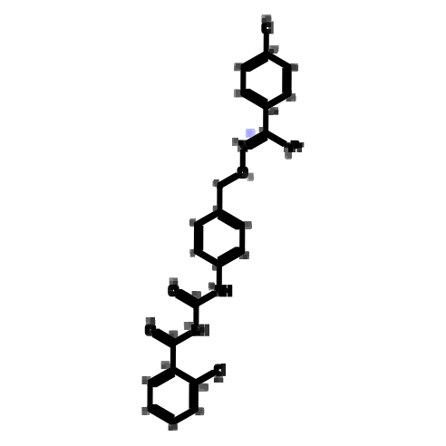 CCC/C(=N\OCc1ccc(NC(=O)NC(=O)c2ccccc2Cl)cc1)c1ccc(Cl)cc1